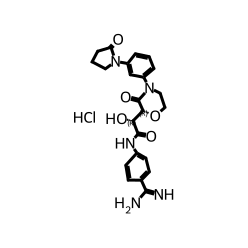 Cl.N=C(N)c1ccc(NC(=O)[C@H](O)[C@H]2OCCN(c3cccc(N4CCCC4=O)c3)C2=O)cc1